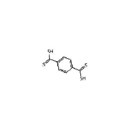 S=C(S)c1ccc(C(=S)S)cc1